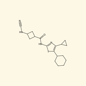 N#CNC1CC(C(=O)Nc2nc(C3CC3)c(C3CCCCC3)s2)C1